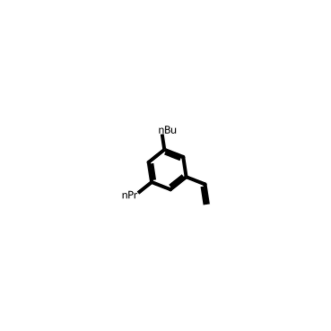 C=Cc1cc(CCC)cc(CCCC)c1